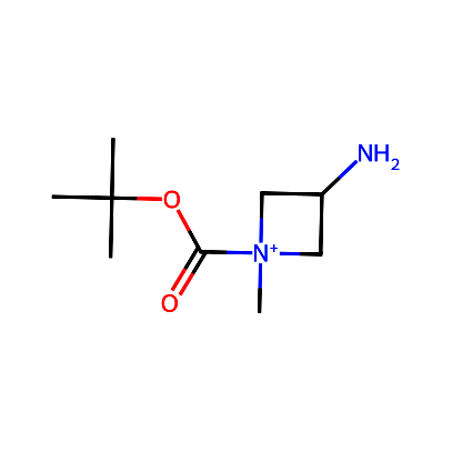 CC(C)(C)OC(=O)[N+]1(C)CC(N)C1